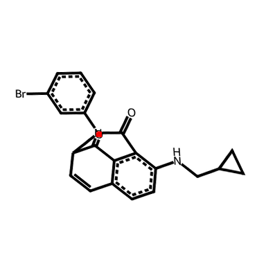 O=C1c2c3ccc(NCC4CC4)c2C(=O)N(c2cccc(Br)c2)C1C=C3